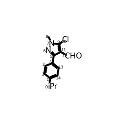 CC(C)c1ccc(-c2nn(C)c(Cl)c2C=O)cc1